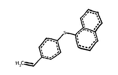 C=Cc1ccc(Sc2cccc3ccccc23)cc1